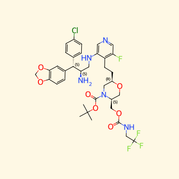 CC(C)(C)OC(=O)N1C[C@@H](CCc2c(F)cncc2NC[C@@H](N)[C@@H](c2ccc(Cl)cc2)c2ccc3c(c2)OCO3)OC[C@H]1COC(=O)NCC(F)(F)F